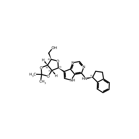 CC1(C)O[C@@H]2[C@H](O1)[C@@H](CO)O[C@H]2c1c[nH]c2c(N[C@H]3CCc4ccccc43)ncnc12